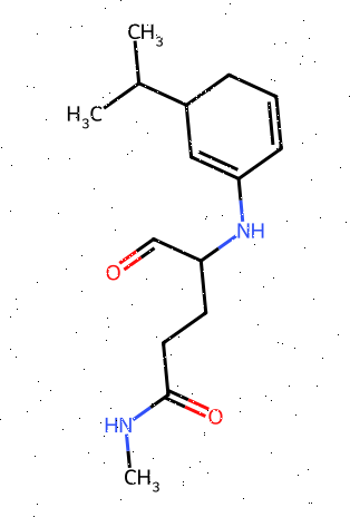 CNC(=O)CCC(C=O)NC1=CC(C(C)C)CC=C1